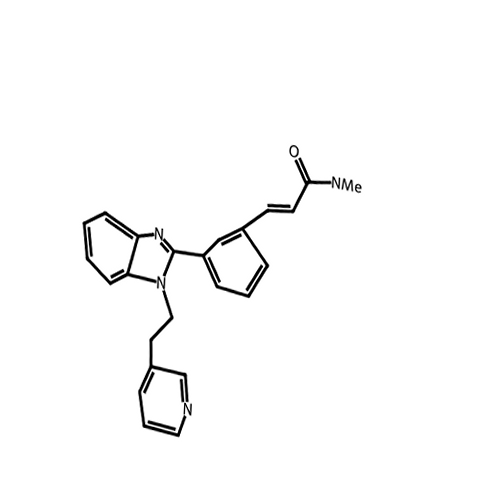 CNC(=O)/C=C/c1cccc(-c2nc3ccccc3n2CCc2cccnc2)c1